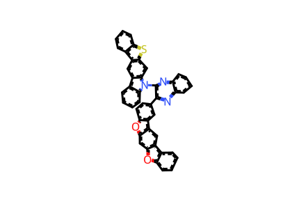 c1ccc2nc(-n3c4ccccc4c4cc5c(cc43)sc3ccccc35)c(-c3ccc4oc5cc6oc7ccccc7c6cc5c4c3)nc2c1